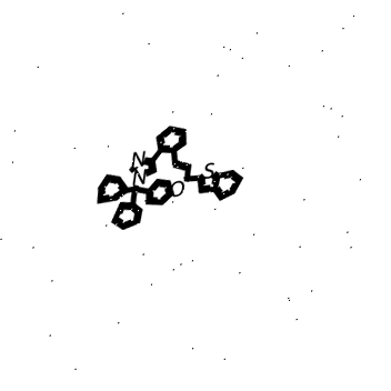 O=C(C=Cc1ccccc1-c1cn(C(c2ccccc2)(c2ccccc2)c2ccccc2)cn1)c1cc2ccccc2s1